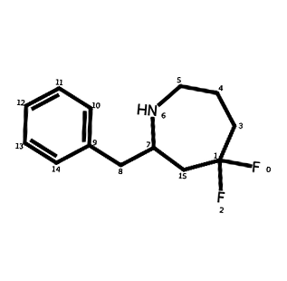 FC1(F)CCCNC(Cc2ccccc2)C1